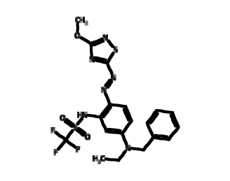 CCN(Cc1ccccc1)c1ccc(N=Nc2nc(OC)ns2)c(NS(=O)(=O)C(F)(F)F)c1